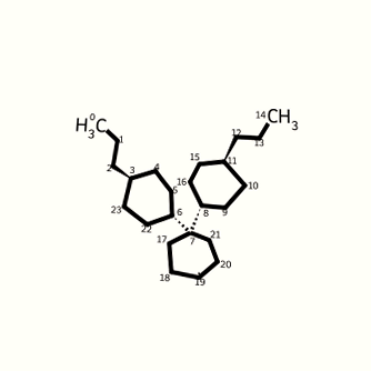 CCC[C@H]1CC[C@H](C2([C@H]3CC[C@H](CCC)CC3)CC[CH]CC2)CC1